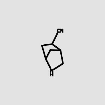 N#CC1CC2CC1CN2